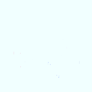 CC(C#N)=C1Oc2ccccc2Cc2cc(C(=O)O)cnc21